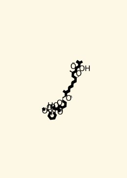 C=C(C)[C@@H](O)[C@@H](OC)C(=O)[C@H](C)C[C@H](C)/C=C/C=C/C=C(\C)[C@H](C[C@@H]1CC[C@@H](C)[C@](O)(C(=O)C(=O)N2CCCC[C@H]2C(=O)OC)O1)OC